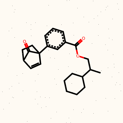 CC(COC(=O)c1cccc(C23C=CC(CC2)C3=O)c1)C1CCCCC1